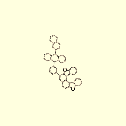 c1cc(-c2c3ccccc3c(-c3ccc4ccccc4c3)c3ccccc23)cc(-c2cc3ccc4oc5ccccc5c4c3c3c2oc2ccccc23)c1